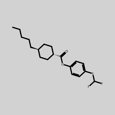 CCCCC[C@H]1CC[C@H](C(=O)Oc2ccc(SC(F)F)cc2)CC1